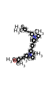 CCc1cccc(C)c1N(c1ccc(/C=C/c2ccc(C)c(C)c2)cc1)c1ccc(-c2ccc(-c3ccc(N(c4ccc(/C=C/c5ccc(OC)c(C)c5)cc4)c4c(C)cccc4CC)cc3)cc2)cc1